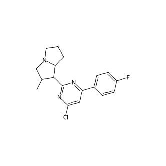 CC1CN2CCCC2C1c1nc(Cl)cc(-c2ccc(F)cc2)n1